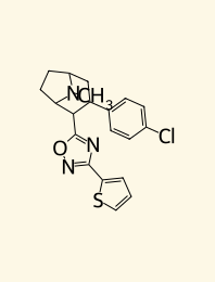 CN1C2CCC1C(c1nc(-c3cccs3)no1)C(c1ccc(Cl)cc1)C2